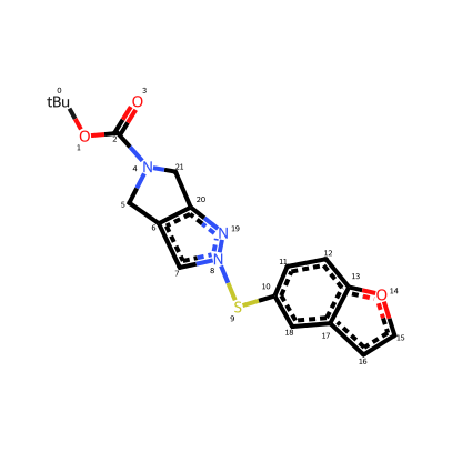 CC(C)(C)OC(=O)N1Cc2cn(Sc3ccc4occc4c3)nc2C1